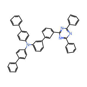 c1ccc(-c2ccc(N(c3ccc(-c4ccccc4)cc3)c3cccc(-c4cccc(-c5nc(-c6ccccc6)nc(-c6ccccc6)n5)c4)c3)cc2)cc1